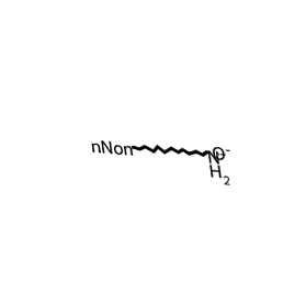 CCCCCCCCCCCCCCCCCCCCCC[NH2+][O-]